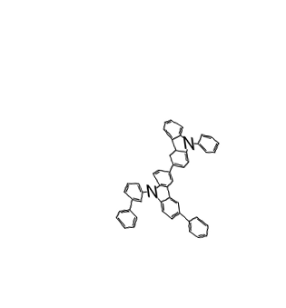 C1=C(c2ccc3c(c2)c2cc(-c4ccccc4)ccc2n3-c2cccc(-c3ccccc3)c2)CC2C(=C1)N(c1ccccc1)c1ccccc12